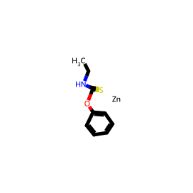 CCNC(=S)Oc1ccccc1.[Zn]